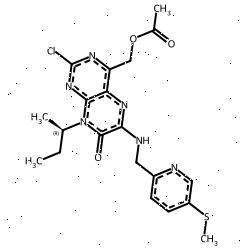 CC[C@@H](C)n1c(=O)c(NCc2ccc(SC)cn2)nc2c(COC(C)=O)nc(Cl)nc21